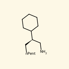 CCCCCC[C@H](CN)C1CCCCC1